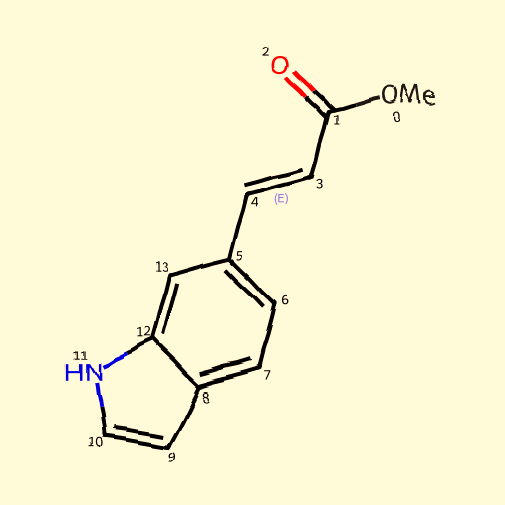 COC(=O)/C=C/c1ccc2cc[nH]c2c1